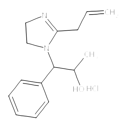 C=CCC1=NCCN1C(c1ccccc1)C(C)O.Cl